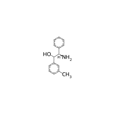 Cc1cccc(C(O)[C@H](N)c2ccccc2)c1